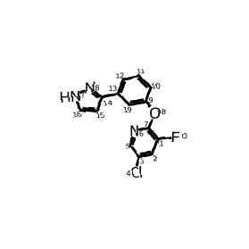 Fc1cc(Cl)cnc1Oc1cccc(-c2cc[nH]n2)c1